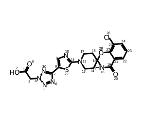 O=C(O)Cn1nnc(-c2cnc(N3CCC4(CC3)NC(=O)c3cccc(Cl)c3O4)s2)n1